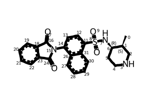 C[C@H]1CNCC[C@H]1NS(=O)(=O)c1ccc(N2C(=O)c3ccccc3C2=O)c2ccccc12